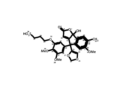 COc1ccc(C2(O)OC(=O)C=C2C(C2=COCO2)(c2ccc(C)cc2)c2cc(OC)c(OC)c(OCCCS(=O)(=O)O)c2)cc1